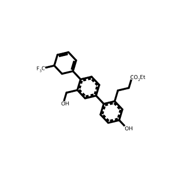 CCOC(=O)CCc1cc(O)ccc1-c1ccc(C2=CC=CC(C(F)(F)F)C2)c(CO)c1